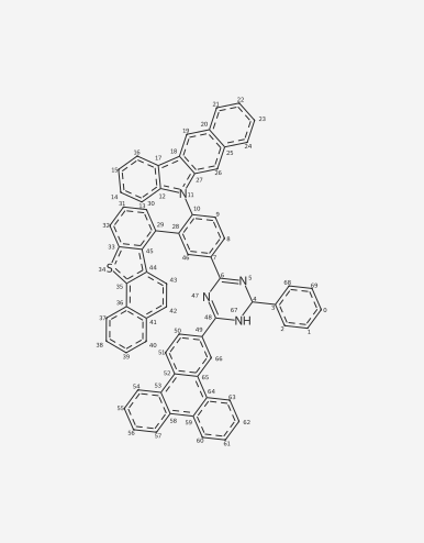 c1ccc(C2N=C(c3ccc(-n4c5ccccc5c5cc6ccccc6cc54)c(-c4cccc5sc6c7ccccc7ccc6c45)c3)N=C(c3ccc4c5ccccc5c5ccccc5c4c3)N2)cc1